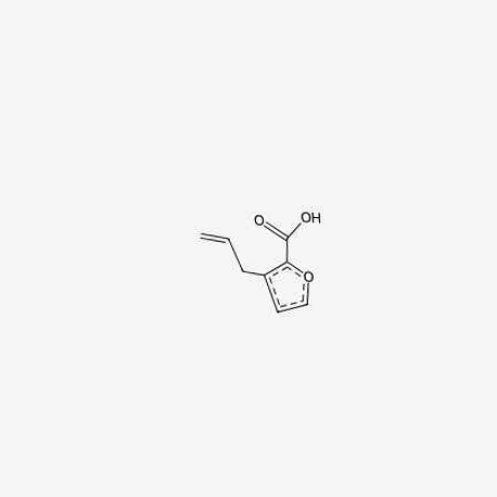 C=CCc1ccoc1C(=O)O